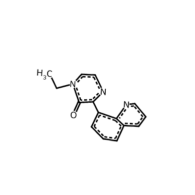 CCn1ccnc(-c2cccc3cccnc23)c1=O